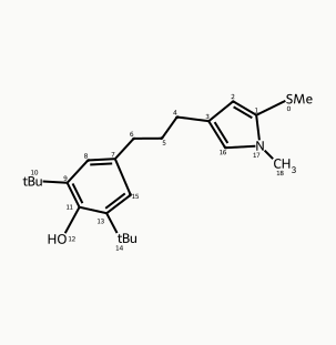 CSc1cc(CCCc2cc(C(C)(C)C)c(O)c(C(C)(C)C)c2)cn1C